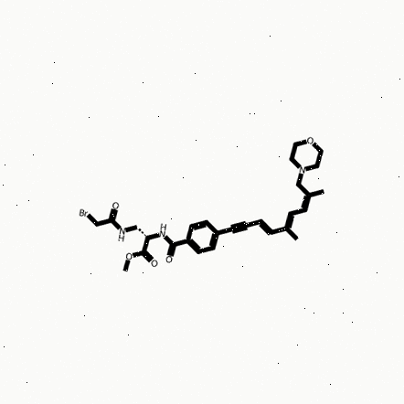 COC(=O)[C@H](CNC(=O)CBr)NC(=O)c1ccc(C#CC=CC(C)=CC=C(C)CN2CCOCC2)cc1